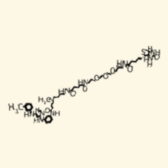 Cc1cccc(Nc2cc(Nc3cccc(NC(=O)/C=C/CN(C)CCCCNC(=O)CCCC(=O)NCCCOCCOCCOCCCNC(=O)CCCC[C@@H]4SC[C@@H]5NC(=O)N[C@@H]54)c3)ncn2)c1